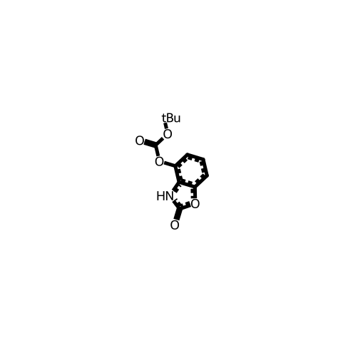 CC(C)(C)OC(=O)Oc1cccc2oc(=O)[nH]c12